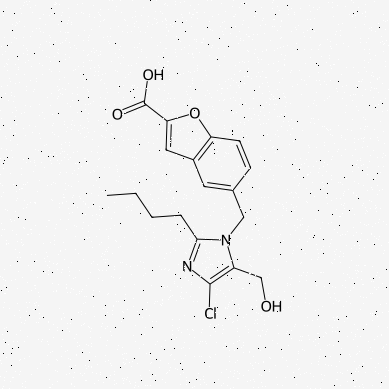 CCCCc1nc(Cl)c(CO)n1Cc1ccc2oc(C(=O)O)cc2c1